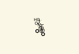 CC1=C(OP(=O)(Oc2ccccc2)Oc2ccccc2)C(C)C2[C@@H]([C@@H](C)O)C(=O)N12